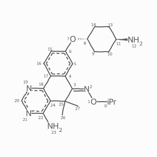 CC(C)O/N=C1/c2cc(O[C@H]3CC[C@H](N)CC3)ccc2-c2ncnc(N)c2C1(C)C